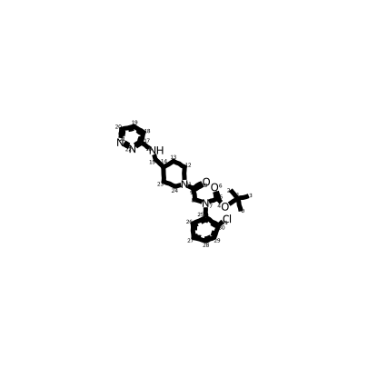 CC(C)(C)OC(=O)N(CC(=O)N1CCC(CNc2cccnn2)CC1)c1ccccc1Cl